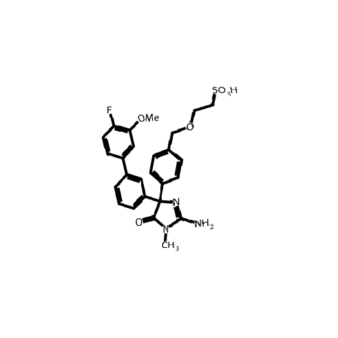 COc1cc(-c2cccc(C3(c4ccc(COCCS(=O)(=O)O)cc4)N=C(N)N(C)C3=O)c2)ccc1F